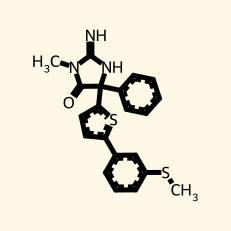 CSc1cccc(-c2ccc(C3(c4ccccc4)NC(=N)N(C)C3=O)s2)c1